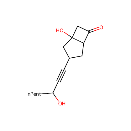 CCCCCC(O)C#CC1CC2C(=O)CC2(O)C1